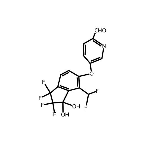 O=Cc1ccc(Oc2ccc3c(c2C(F)F)C(O)(O)C(F)(F)C3(F)F)cn1